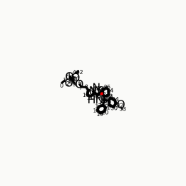 CCOP(=O)(COCCc1ccc2c(NC(c3ccccc3)(c3ccccc3)c3ccc(OC)cc3)ncnn12)OCC